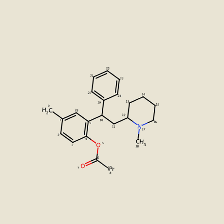 Cc1ccc(OC(=O)C(C)C)c(C(CC2CCCCN2C)c2ccccc2)c1